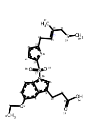 CCOc1ccc2c(c1)c(CCC(=O)O)cn2S(=O)(=O)c1ccc(C/C=C(\C)CSC)s1